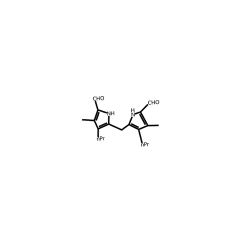 CCCc1c(Cc2[nH]c(C=O)c(C)c2CCC)[nH]c(C=O)c1C